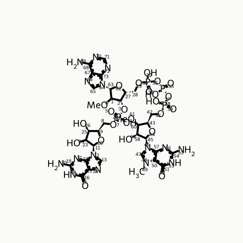 COC1[C@@H](OP(=O)(O)OC[C@H]2O[C@@H](n3cnc4c(=O)[nH]c(N)nc43)C(O)[C@H]2O)[C@@H](COP(=O)(O)OP(=O)(O)OP(=O)(O)OC[C@H]2O[C@@H](n3c[n+](C)c4c(=O)[nH]c(N)nc43)[C@@H](O)C2OC)O[C@H]1n1cnc2c(N)ncnc21